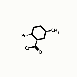 CC(C)[C@@H]1CC[C@@H](C)C[C@H]1C(=O)Cl